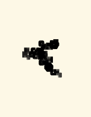 Cc1ccc(C(=O)Nc2nc3c(s2)c(C(=O)NCc2cccnc2)cn3C(C)(C)C)cc1